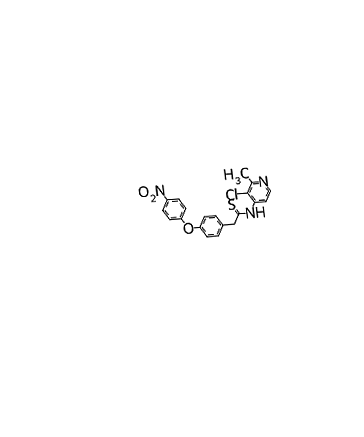 Cc1nccc(NC(=S)Cc2ccc(Oc3ccc([N+](=O)[O-])cc3)cc2)c1Cl